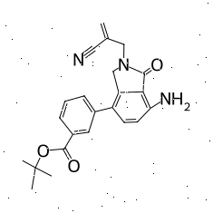 C=C(C#N)CN1Cc2c(-c3cccc(C(=O)OC(C)(C)C)c3)ccc(N)c2C1=O